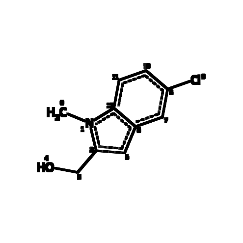 Cn1c(CO)cc2cc(Cl)ccc21